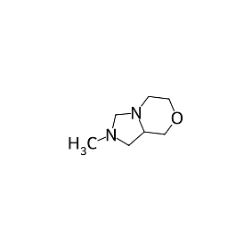 CN1CC2COCCN2C1